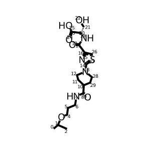 CC(C)OCCCNC(=O)C1CCN(c2nc(C(=O)N[C@@H](CO)C(=O)O)cs2)CC1